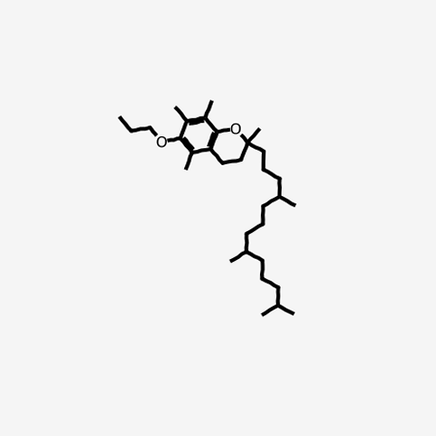 CCCOc1c(C)c(C)c2c(c1C)CCC(C)(CCCC(C)CCCC(C)CCCC(C)C)O2